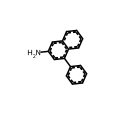 Nc1cc(-c2ccccc2)c2ccccc2c1